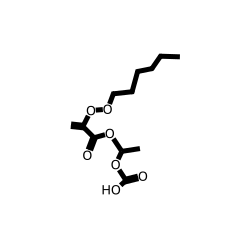 C=C(OOCCCCCC)C(=O)OC(C)OC(=O)O